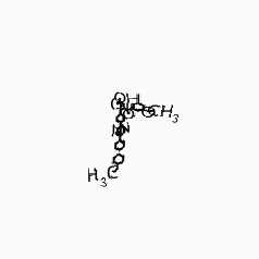 CC[C@H]1CC[C@H](C2CC=C(c3cnc(-c4ccc(CN(CC(=O)O)C(=O)c5cccc(OC)c5)cc4)nc3)CC2)CC1